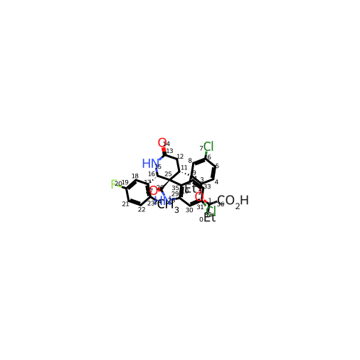 CCC(OC1C=CC(Cl)=CC1(CC)[C@H]1CC(=O)N[C@@H](c2cc(F)ccc2C)[C@]12C(=O)Nc1cc(Cl)ccc12)C(=O)O